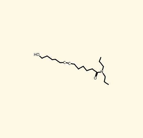 CCCN(CCC)C(=O)CCCCCCCCCCCCO